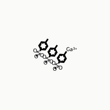 Cc1ccc(S(=O)(=O)[O-])cc1.Cc1ccc(S(=O)(=O)[O-])cc1.Cc1ccc(S(=O)(=O)[O-])cc1.[Ga+3]